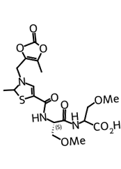 COCC(NC(=O)[C@H](COC)NC(=O)C1=CN(Cc2oc(=O)oc2C)C(C)S1)C(=O)O